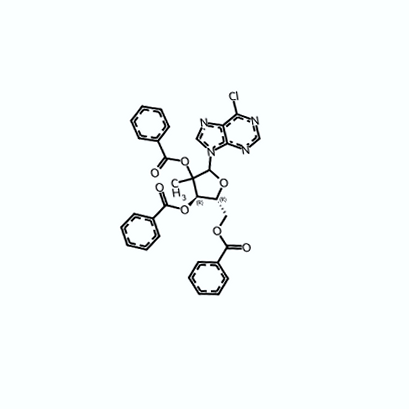 CC1(OC(=O)c2ccccc2)C(n2cnc3c(Cl)ncnc32)O[C@H](COC(=O)c2ccccc2)[C@H]1OC(=O)c1ccccc1